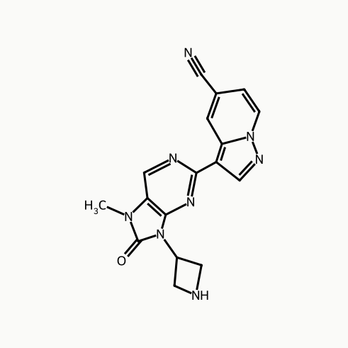 Cn1c(=O)n(C2CNC2)c2nc(-c3cnn4ccc(C#N)cc34)ncc21